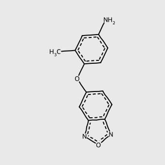 Cc1cc(N)ccc1Oc1ccc2nonc2c1